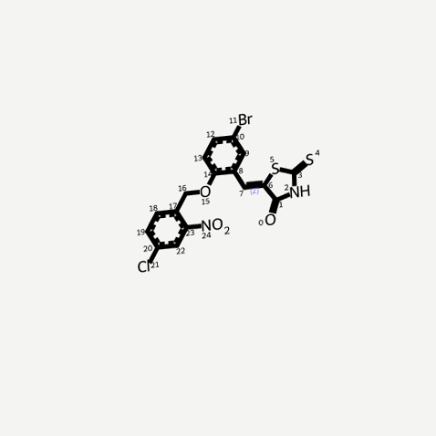 O=C1NC(=S)S/C1=C\c1cc(Br)ccc1OCc1ccc(Cl)cc1[N+](=O)[O-]